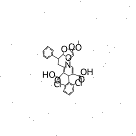 COC(=O)CCN1C=C(C(=O)O)C(c2c(Cl)cccc2Cl)C(C(=O)O)=C1CC(c1ccccc1)C1OCCO1